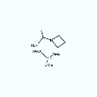 CC(N)N1CCC1.CO[SiH](OC)OC